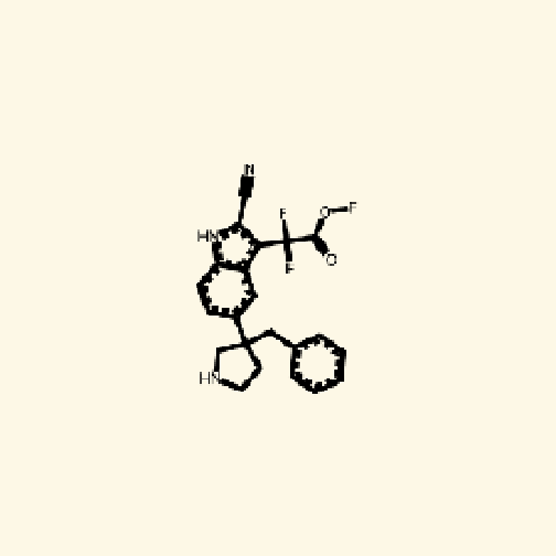 N#Cc1[nH]c2ccc(C3(Cc4ccccc4)CCNC3)cc2c1C(F)(F)C(=O)OF